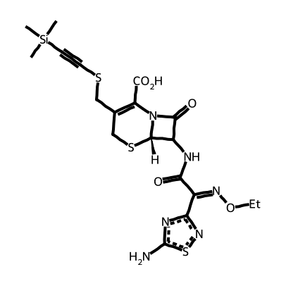 CCON=C(C(=O)NC1C(=O)N2C(C(=O)O)=C(CSC#C[Si](C)(C)C)CS[C@@H]12)c1nsc(N)n1